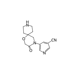 N#Cc1cncc(N2CC3(CCNCC3)OCC2=O)c1